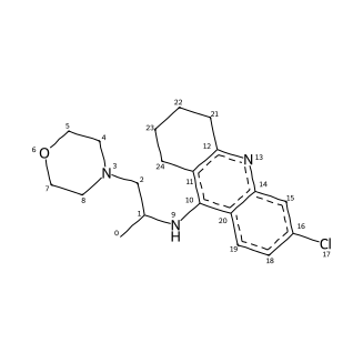 CC(CN1CCOCC1)Nc1c2c(nc3cc(Cl)ccc13)CCCC2